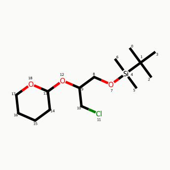 CC(C)(C)[Si](C)(C)OCC(CCl)OC1CCCCO1